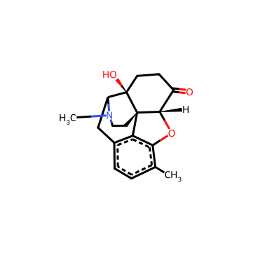 Cc1ccc2c3c1O[C@H]1C(=O)CC[C@@]4(O)C(C2)N(C)CC[C@]314